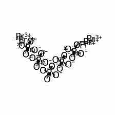 O=P([O-])([O-])[O-].O=P([O-])([O-])[O-].O=P([O-])([O-])[O-].O=P([O-])([O-])[O-].O=P([O-])([O-])[O-].[Pr+3].[Pr+3].[Pr+3].[Pr+3].[Pr+3]